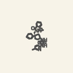 COc1ccccc1C(=O)NC[C@]1(c2ccccc2)CC[C@H](NS(=O)(=O)Nc2ccc(C)cn2)CC1